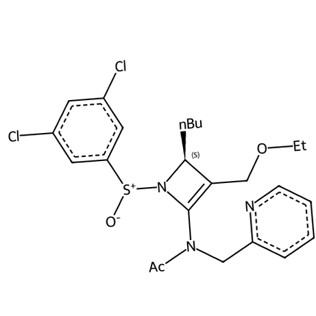 CCCC[C@H]1C(COCC)=C(N(Cc2ccccn2)C(C)=O)N1[S+]([O-])c1cc(Cl)cc(Cl)c1